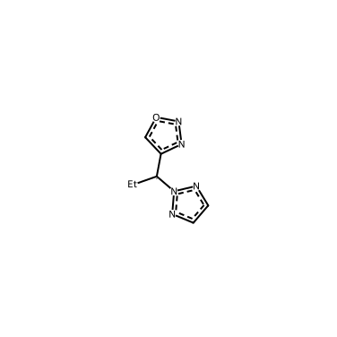 CC[C](c1conn1)n1nccn1